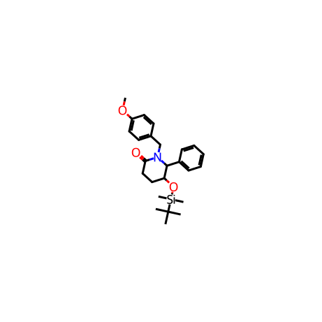 COc1ccc(CN2C(=O)CCC(O[Si](C)(C)C(C)(C)C)C2c2ccccc2)cc1